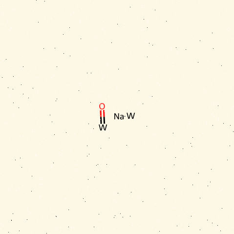 [Na].[O]=[W].[W]